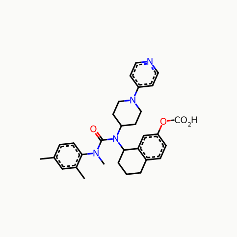 Cc1ccc(N(C)C(=O)N(C2CCN(c3ccncc3)CC2)C2CCCc3ccc(OC(=O)O)cc32)c(C)c1